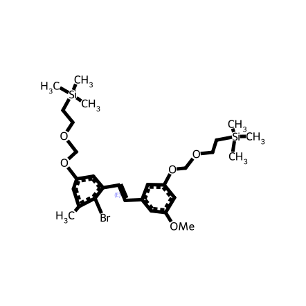 COc1cc(/C=C/c2cc(OCOCC[Si](C)(C)C)cc(C)c2Br)cc(OCOCC[Si](C)(C)C)c1